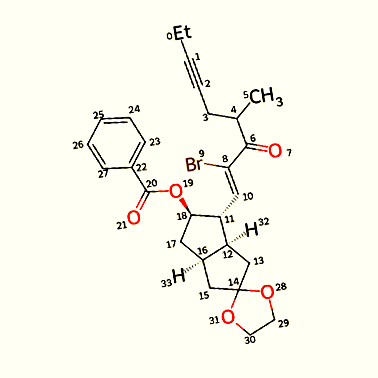 CCC#CCC(C)C(=O)/C(Br)=C/[C@@H]1[C@H]2CC3(C[C@H]2C[C@H]1OC(=O)c1ccccc1)OCCO3